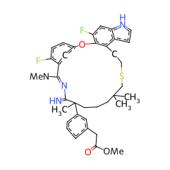 CN/C1=N\C(=N)C(C)(c2cccc(CC(=O)OC)c2)CCCC(C)(C)CSCCc2c(c(F)cc3[nH]ccc23)Oc2ccc(F)c1c2